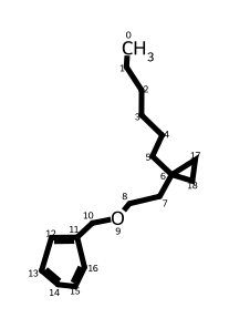 CCCCCCC1(CCOCc2ccccc2)CC1